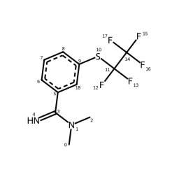 CN(C)C(=N)c1cccc(SC(F)(F)C(F)(F)F)c1